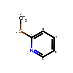 FC(F)(F)Sc1cc[c]cn1